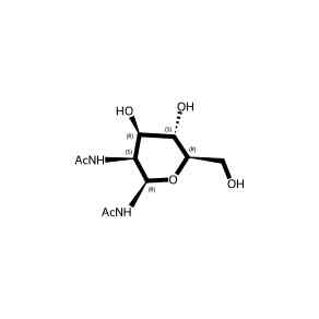 CC(=O)N[C@H]1[C@@H](O)[C@H](O)[C@@H](CO)O[C@H]1NC(C)=O